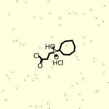 Cl.O=C(Cl)CCP(=O)(O)C1CCCCCCC1